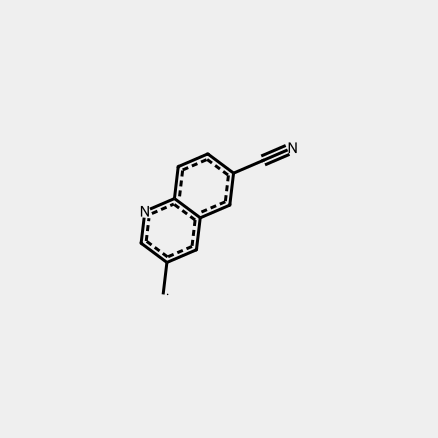 [CH2]c1cnc2ccc(C#N)cc2c1